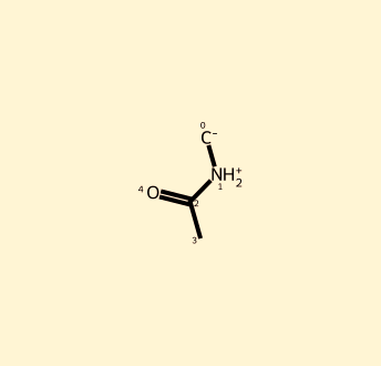 [CH2-][NH2+]C(C)=O